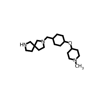 CN1CCC(OC2CCC(CN3CCC4(CCNC4)C3)CC2)CC1